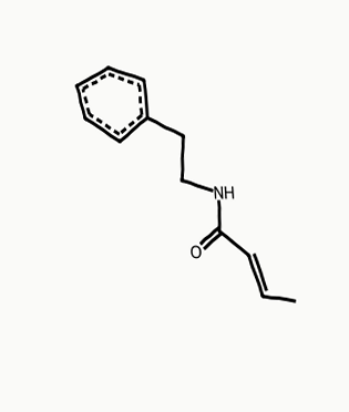 C/C=C/C(=O)NCCc1ccccc1